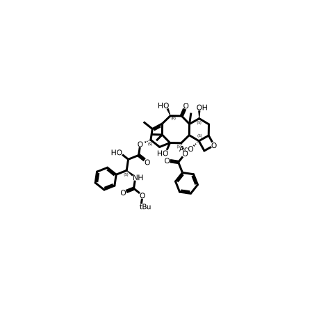 CC(=O)O[C@@]12COC1C[C@H](O)C1(C)C(=O)[C@H](O)C3=C(C)[C@@H](OC(=O)C(O)[C@@H](NC(=O)OC(C)(C)C)c4ccccc4)CC(O)([C@@H](OC(=O)c4ccccc4)C12)C3(C)C